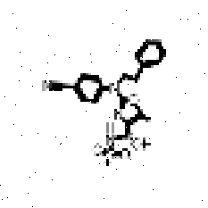 Cc1oc(N(CCc2ccccc2)c2ccc(C#N)cc2)nc1[C@H](O)NS(C)(=O)=O